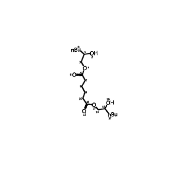 CCCCC(O)COC(=O)CCCCC(=O)OCC(O)CCCC